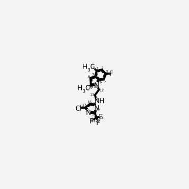 Cc1cc(F)cc2c1cc(C)n2CCNc1cc(Cl)nc(C(F)(F)F)n1